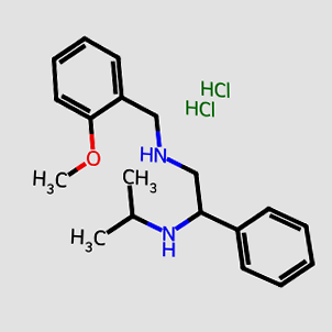 COc1ccccc1CNCC(NC(C)C)c1ccccc1.Cl.Cl